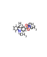 CCN(c1ccccc1)c1ccc(S(=O)(=O)N(C)C)cc1C